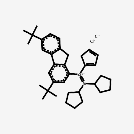 CC(C)(C)c1ccc2c(c1)-c1cc(C(C)(C)C)c[c]([Zr+2]([C]3=CC=CC3)=[Si](C3CCCC3)C3CCCC3)c1C2.[Cl-].[Cl-]